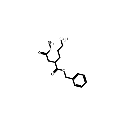 NOC(=O)CC(CCCC(=O)O)C(=O)OCc1ccccc1